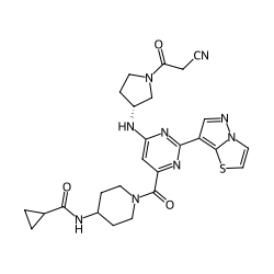 N#CCC(=O)N1CC[C@@H](Nc2cc(C(=O)N3CCC(NC(=O)C4CC4)CC3)nc(-c3cnn4ccsc34)n2)C1